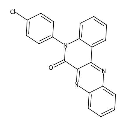 O=c1c2nc3ccccc3nc2c2ccccc2n1-c1ccc(Cl)cc1